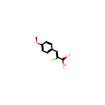 COc1ccc(C=C(S)C(=O)O)cc1